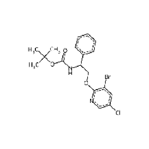 CC(C)(C)OC(=O)NC(COc1ncc(Cl)cc1Br)c1ccccc1